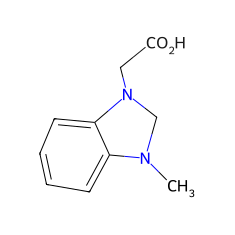 CN1CN(CC(=O)O)c2ccccc21